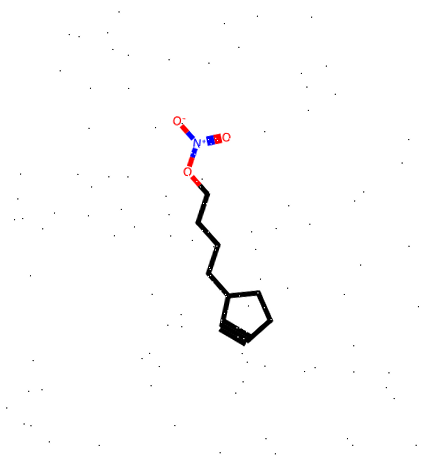 O=[N+]([O-])OCCCCC1C#CCC1